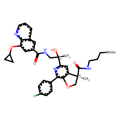 CC(=O)NCCCNC(=O)[C@@]1(C)COc2c1cc([C@@](O)(CNC(=O)c1cc(OC3CC3)c3ncccc3c1)C(F)(F)F)nc2-c1ccc(F)cc1